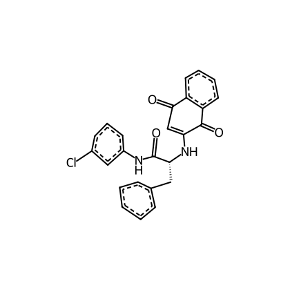 O=C1C=C(N[C@H](Cc2ccccc2)C(=O)Nc2cccc(Cl)c2)C(=O)c2ccccc21